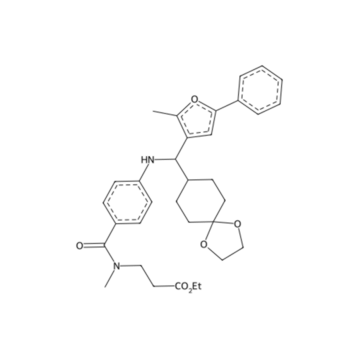 CCOC(=O)CCN(C)C(=O)c1ccc(NC(c2cc(-c3ccccc3)oc2C)C2CCC3(CC2)OCCO3)cc1